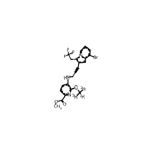 [2H]C([2H])([2H])Oc1nc(C(=O)OC)ccc1NCC#Cc1cc2c(Br)cccn2c1CC(F)(F)F